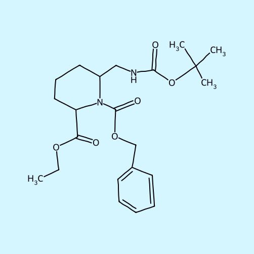 CCOC(=O)C1CCCC(CNC(=O)OC(C)(C)C)N1C(=O)OCc1ccccc1